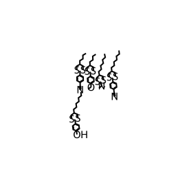 CCCCC1CSC(c2ccc(C#N)cc2)SC1.CCCCC1CSC(c2ccc(OC)cc2)SC1.CCCCCCCC1CSC(N(C)C)SC1.CCCCCCCC1CSC(c2ccc(C#N)cc2)SC1.CCCCCCCC1CSC(c2ccc(O)cc2)SC1